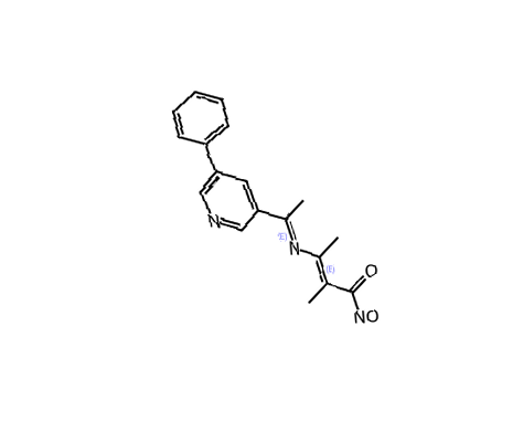 C/C(=N\C(C)=C(/C)C(=O)N=O)c1cncc(-c2ccccc2)c1